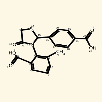 Cc1cccc(C(=O)O)c1N1C(=O)CSC1c1ccc(C(=O)O)cc1